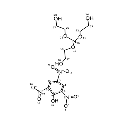 O=[N+]([O-])c1cc([N+](=O)[O-])c(O)c([N+](=O)[O-])c1.OCCON(OCCO)OCCO